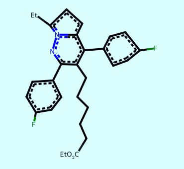 CCOC(=O)CCCCCc1c(-c2ccc(F)cc2)nn2c(CC)ccc2c1-c1ccc(F)cc1